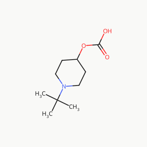 CC(C)(C)N1CCC(OC(=O)O)CC1